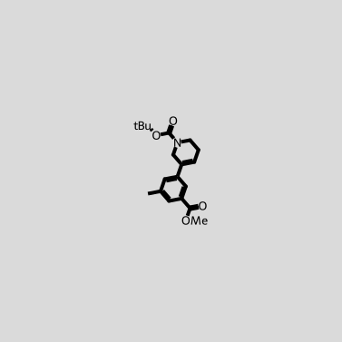 COC(=O)c1cc(C)cc(C2=CCCN(C(=O)OC(C)(C)C)C2)c1